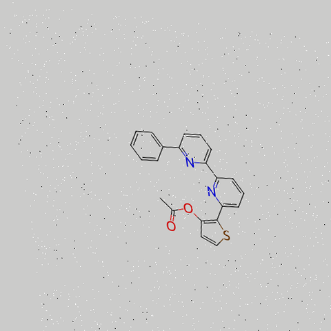 CC(=O)Oc1ccsc1-c1cccc(-c2cccc(-c3ccccc3)n2)n1